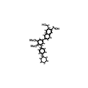 COc1cc(-c2cnc3cc(CO)c(CO)cc3c2)cc(-c2ccc(C3CCCCC3)cc2)c1OC